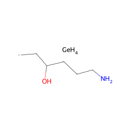 [CH2]CC(O)CCCN.[GeH4]